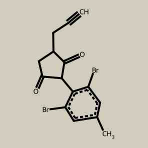 C#CCC1CC(=O)C(c2c(Br)cc(C)cc2Br)C1=O